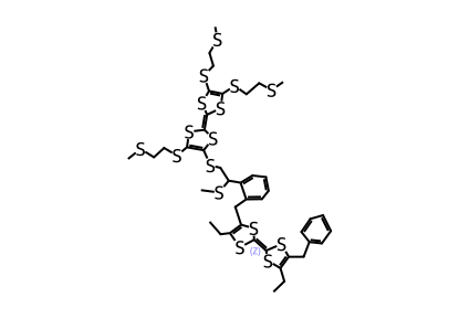 CCC1=C(Cc2ccccc2)S/C(=C2/SC(CC)=C(Cc3ccccc3C(CSC3=C(SCCSC)SC(=C4SC(SCCSC)=C(SCCSC)S4)S3)SC)S2)S1